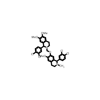 COc1cc2c(cc1OC)C(c1ccc(Cl)c(Cl)c1)N(COc1cc3c(cc1OC)CCN(C)C3c1ccc(Cl)c(Cl)c1)CC2